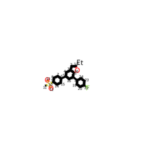 CCc1cc2cc(-c3ccc(S(C)(=O)=O)cc3)cc(-c3ccc(F)cc3)c2o1